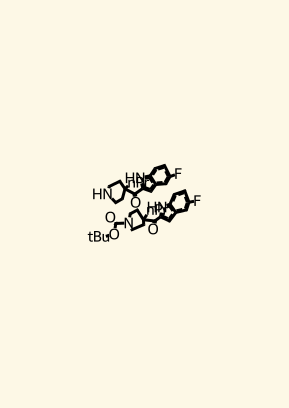 CCCC1(C(=O)c2cc3cc(F)ccc3[nH]2)CCN(C(=O)OC(C)(C)C)CC1.CCCC1(C(=O)c2cc3cc(F)ccc3[nH]2)CCNCC1